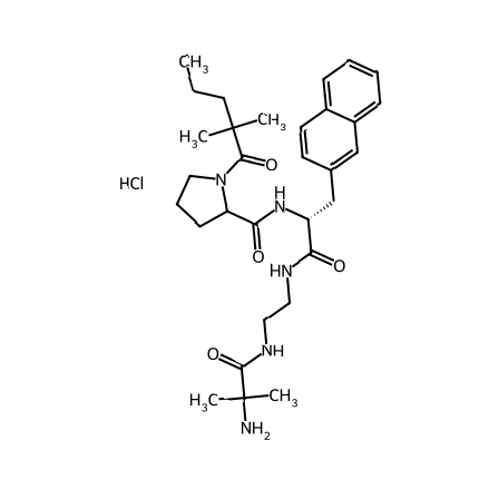 CCCC(C)(C)C(=O)N1CCCC1C(=O)N[C@H](Cc1ccc2ccccc2c1)C(=O)NCCNC(=O)C(C)(C)N.Cl